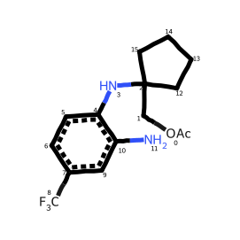 CC(=O)OCC1(Nc2ccc(C(F)(F)F)cc2N)CCCC1